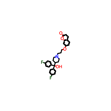 O=c1ccc2ccc(OCCCN3CCC(C(O)(c4ccc(F)cc4)c4ccc(F)cc4)CC3)cc2o1